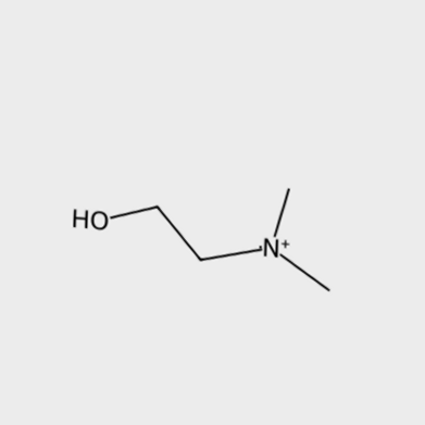 C[N+](C)CCO